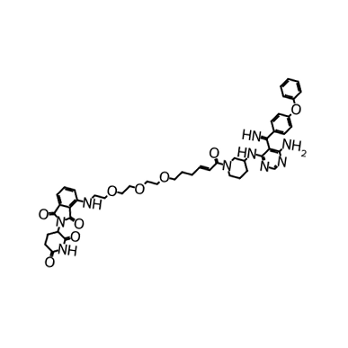 N=C(c1ccc(Oc2ccccc2)cc1)c1c(N)ncnc1NC1CCCN(C(=O)/C=C/CCCOCCOCCOCCNc2cccc3c2C(=O)N(C2CCC(=O)NC2=O)C3=O)C1